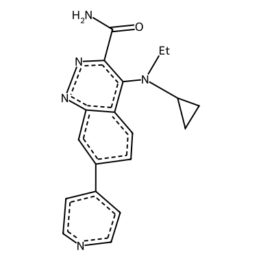 CCN(c1c(C(N)=O)nnc2cc(-c3ccncc3)ccc12)C1CC1